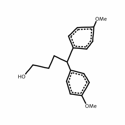 COc1ccc(C(CCCO)c2ccc(OC)cc2)cc1